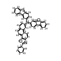 c1ccc(-c2nc3ccc4c5cc(N(c6ccc7c(c6)oc6ccccc67)c6ccc7sc8ccccc8c7c6)ccc5ccc4c3o2)cc1